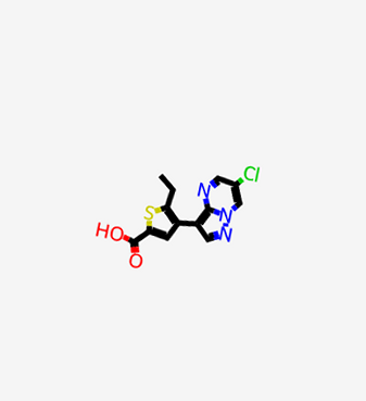 CCc1sc(C(=O)O)cc1-c1cnn2cc(Cl)cnc12